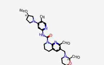 CO[C@@H]1CCN(c2cc(NC(=O)N3CCCc4cc(CN5CCCO[C@@H]5C=O)c(C=O)nc43)ncc2C#N)C1